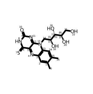 Cc1cc2nc3c(=S)[nH]c(=O)nc-3n(C[C@H](O)[C@H](O)[C@H](O)CO)c2cc1C